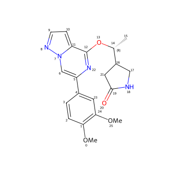 COc1ccc(-c2cn3nccc3c(O[C@H](C)C3CNC(=O)C3)n2)cc1OC